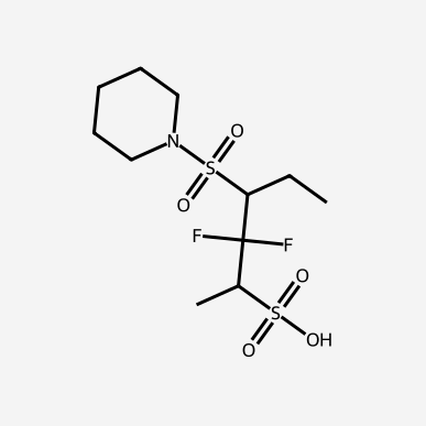 CCC(C(F)(F)C(C)S(=O)(=O)O)S(=O)(=O)N1CCCCC1